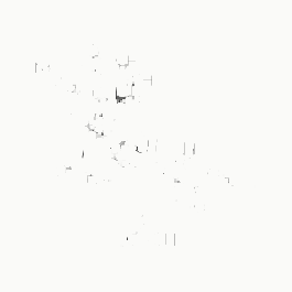 COC(=O)[C@@]1(C)CCC(C)(C)CCC2OC(=O)C[C@@H]3[C@@]4(C)C=C(C#N)C(=O)C(C)(C)[C@@H]4CC[C@@]3(C)[C@]2(C)CC1